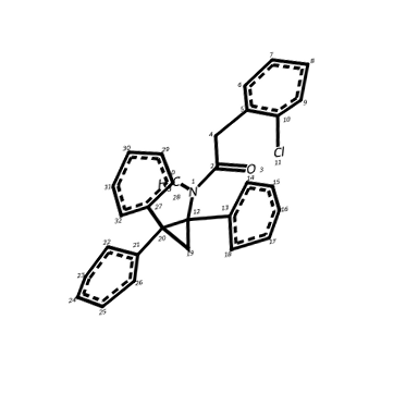 CN(C(=O)Cc1ccccc1Cl)C1(c2ccccc2)CC1(c1ccccc1)c1ccccc1